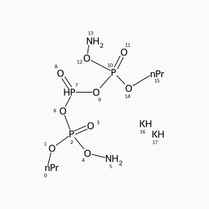 CCCOP(=O)(ON)O[PH](=O)OP(=O)(ON)OCCC.[KH].[KH]